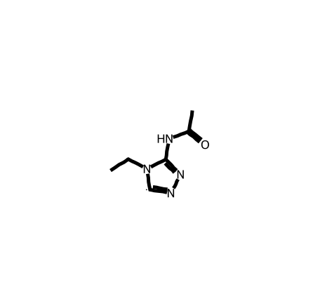 CCn1[c]nnc1NC(C)=O